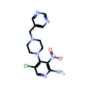 Nc1ncc(Cl)c(N2CCN(Cc3cncnc3)CC2)c1[N+](=O)[O-]